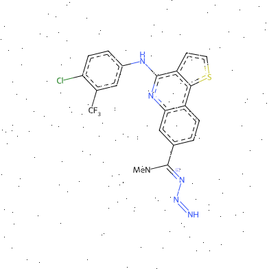 CN/C(=N\N=N)c1ccc2c(c1)nc(Nc1ccc(Cl)c(C(F)(F)F)c1)c1ccsc12